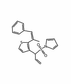 C=CC(c1ccsc1C(C)=Cc1ccccc1)S(=O)(=O)n1cccc1